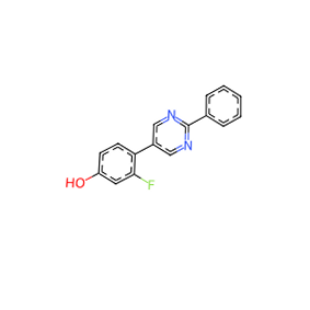 Oc1ccc(-c2cnc(-c3ccccc3)nc2)c(F)c1